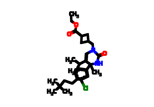 CCOC(=O)C1CC(CN2C=C(C(C)C)C(C)(c3ccc(CCC(C)(C)C)c(Cl)c3)NC2=O)C1